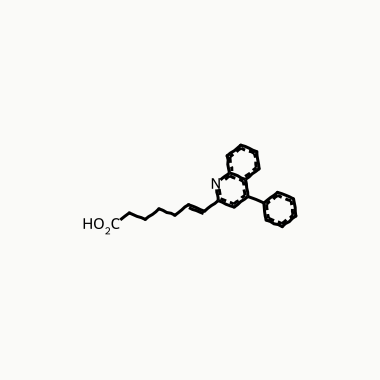 O=C(O)CCCCC=Cc1cc(-c2ccccc2)c2ccccc2n1